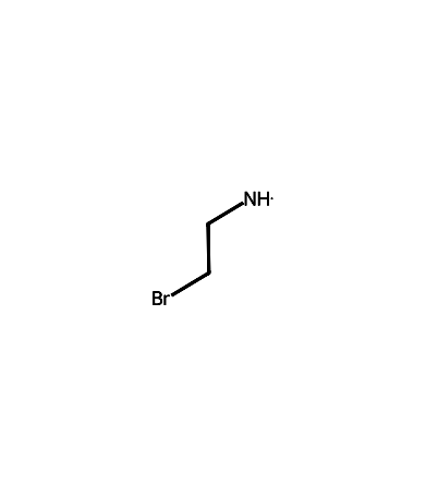 [NH]CCBr